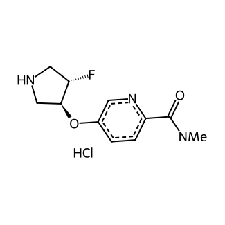 CNC(=O)c1ccc(O[C@H]2CNC[C@@H]2F)cn1.Cl